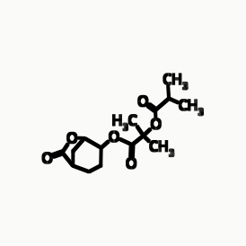 CC(C)C(=O)OC(C)(C)C(=O)OC1CCC2CC1OC2=O